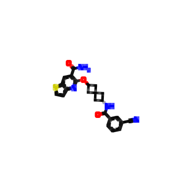 N#Cc1cccc(C(=O)N[C@H]2CC3(C2)C[C@H](Oc2nc4ccsc4cc2C(N)=O)C3)c1